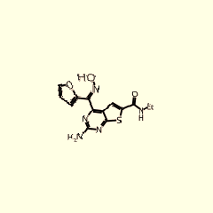 CCNC(=O)c1cc2c(C(=NO)c3ccco3)nc(N)nc2s1